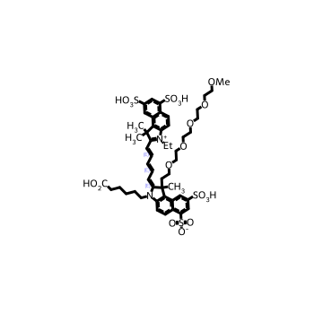 CC[N+]1=C(/C=C/C=C/C=C2/N(CCCCCC(=O)O)c3ccc4c(S(=O)(=O)[O-])cc(S(=O)(=O)O)cc4c3C2(C)CCOCCOCCOCCOCCOC)C(C)(C)c2c1ccc1c(S(=O)(=O)O)cc(S(=O)(=O)O)cc21